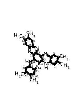 C=c1cc2c(cc1C)=Nc1c(c3c(c4nc5cc(C)c(C)cc5nc14)Nc1cc(=C)c(C)cc1=N3)N2